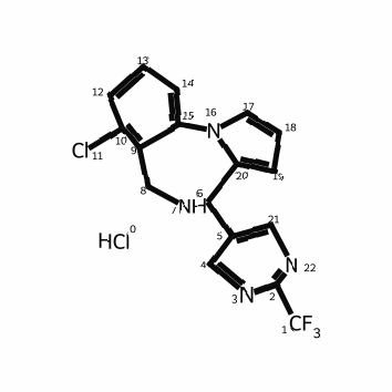 Cl.FC(F)(F)c1ncc(C2NCc3c(Cl)cccc3-n3cccc32)cn1